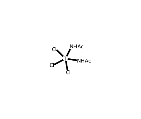 CC(=O)[NH][Ti]([Cl])([Cl])([Cl])[NH]C(C)=O